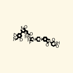 COc1cc(-c2cn(C)c(=O)c3cc(C(=O)NC4CN(C5CCN(c6ccc7c(c6)C(=O)N(C6CCC(=O)NC6=O)C7)CC5)CC4(F)F)sc23)cc(OC)c1CN(C)C